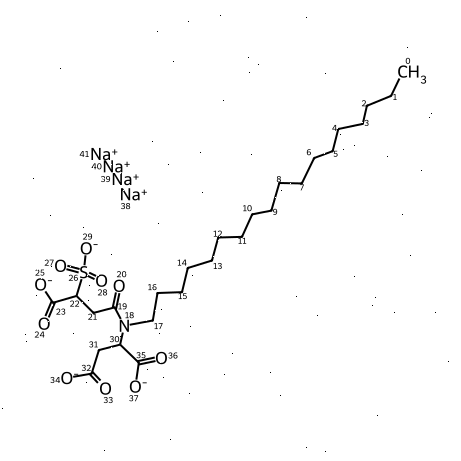 CCCCCCCCCCCCCCCCCCN(C(=O)CC(C(=O)[O-])S(=O)(=O)[O-])C(CC(=O)[O-])C(=O)[O-].[Na+].[Na+].[Na+].[Na+]